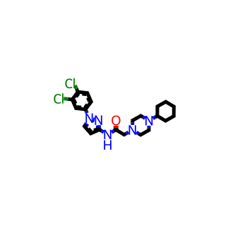 O=C(CN1CCN(C2CCCCC2)CC1)Nc1ccn(-c2ccc(Cl)c(Cl)c2)n1